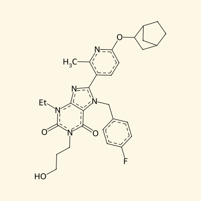 CCn1c(=O)n(CCCO)c(=O)c2c1nc(-c1ccc(OC3CC4CCC3C4)nc1C)n2Cc1ccc(F)cc1